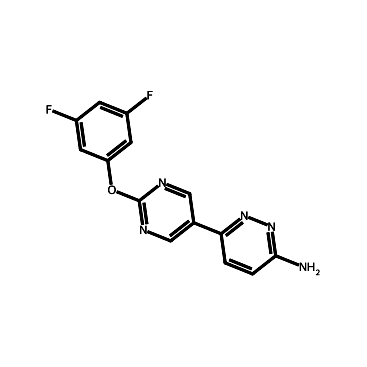 Nc1ccc(-c2cnc(Oc3cc(F)cc(F)c3)nc2)nn1